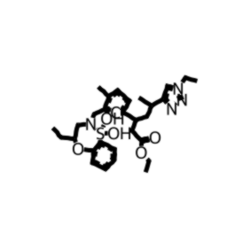 CCOC(=O)CC(CC(C)c1cn(CC)nn1)c1ccc(C)c(CN2CC(CC)Oc3ccccc3S2(O)O)c1